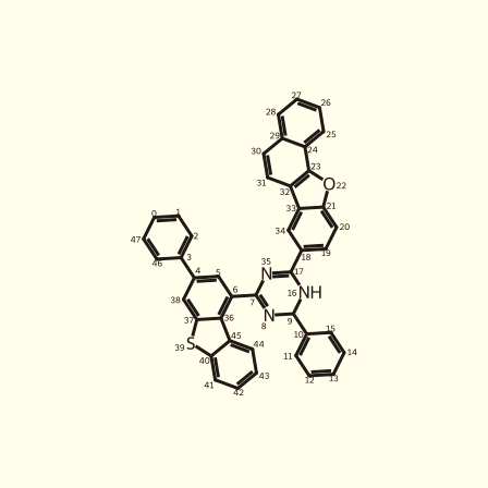 c1ccc(-c2cc(C3=NC(c4ccccc4)NC(c4ccc5oc6c7ccccc7ccc6c5c4)=N3)c3c(c2)sc2ccccc23)cc1